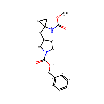 CC(C)(C)OC(=O)NC1(CC2CCN(C(=O)OCc3ccccc3)C2)CC1